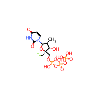 C[C@@H]1C(n2ccc(=O)[nH]c2=O)O[C@](CF)(COP(=O)(O)OP(=O)(O)OP(=O)(O)O)[C@H]1O